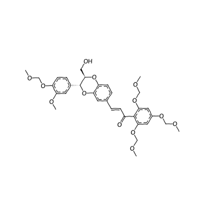 COCOc1cc(OCOC)c(C(=O)/C=C/c2ccc3c(c2)O[C@H](c2ccc(OCOC)c(OC)c2)[C@@H](CO)O3)c(OCOC)c1